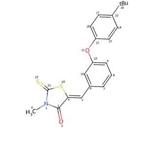 CN1C(=O)C(=Cc2cccc(Oc3ccc(C(C)(C)C)cc3)c2)SC1=S